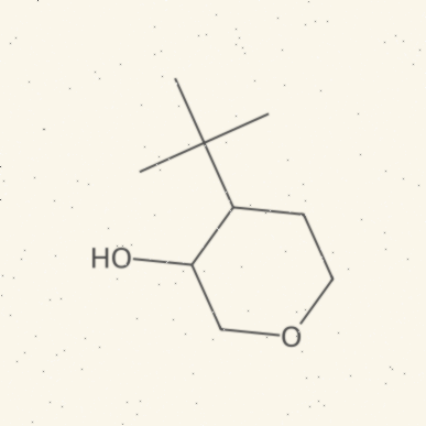 CC(C)(C)C1CCOCC1O